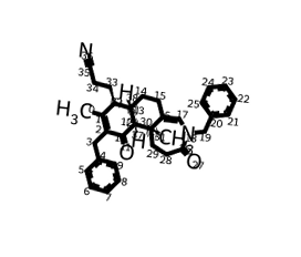 CC1=C(Cc2ccccc2)C(=O)[C@H]2[C@@H](CCC3=CN(Cc4ccccc4)C(=O)CC[C@@]32C)[C@@H]1CCC#N